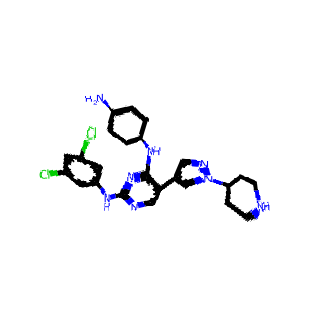 N[C@H]1CC[C@@H](Nc2nc(Nc3cc(Cl)cc(Cl)c3)ncc2-c2cnn(C3CCNCC3)c2)CC1